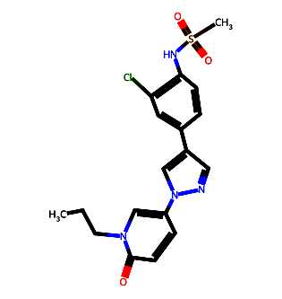 CCCn1cc(-n2cc(-c3ccc(NS(C)(=O)=O)c(Cl)c3)cn2)ccc1=O